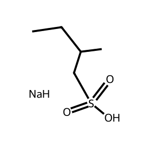 CCC(C)CS(=O)(=O)O.[NaH]